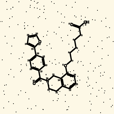 O=C(O)CCCCCOc1cccc2c1CN(C(=O)c1ccc(-c3ccco3)cc1)CC2